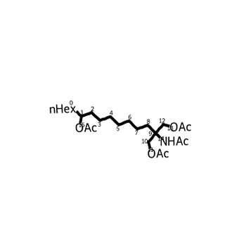 CCCCCCC(CCCCCCCC(COC(C)=O)(COC(C)=O)NC(C)=O)OC(C)=O